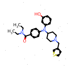 CCN(CC)C(=O)c1ccc(N(c2cccc(O)c2)C2CCN(Cc3ccsc3)CC2)cc1